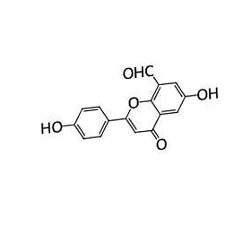 O=Cc1cc(O)cc2c(=O)cc(-c3ccc(O)cc3)oc12